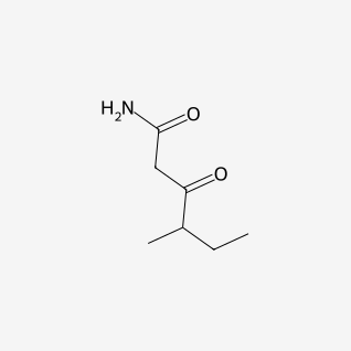 CCC(C)C(=O)CC(N)=O